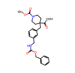 COC(=O)C1(Cc2cccc(CNC(=O)OCc3ccccc3)c2)CCN(C(=O)OC(C)(C)C)CC1